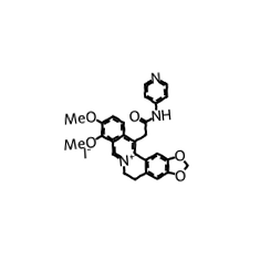 COc1ccc2c(CC(=O)Nc3ccncc3)c3[n+](cc2c1OC)CCc1cc2c(cc1-3)OCO2.[I-]